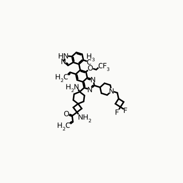 C=CC(=O)C1(N)CC2(CCC(N)(c3nc(C4CCN(CC5CC(F)(F)C5)CC4)nc4c(OCC(F)(F)F)c(-c5c(C)ccc6[nH]ncc56)c(C=C)cc34)CC2)C1